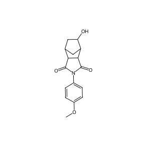 COc1ccc(N2C(=O)C3C4CC(O)C(C4)C3C2=O)cc1